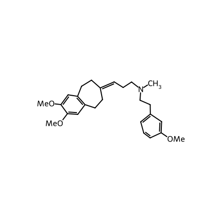 COc1cccc(CCN(C)CCC=C2CCc3cc(OC)c(OC)cc3CC2)c1